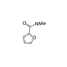 [CH2]NC(=O)c1ccco1